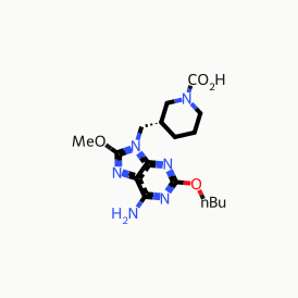 CCCCOc1nc(N)c2nc(OC)n(C[C@H]3CCCN(C(=O)O)C3)c2n1